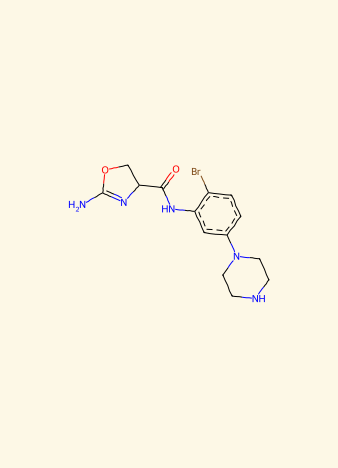 NC1=NC(C(=O)Nc2cc(N3CCNCC3)ccc2Br)CO1